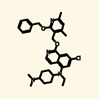 CCN(c1cc(Cl)cc2c(OCc3c(C)cc(C)nc3OCc3ccccc3)nccc12)C1CCC(N(C)C)CC1